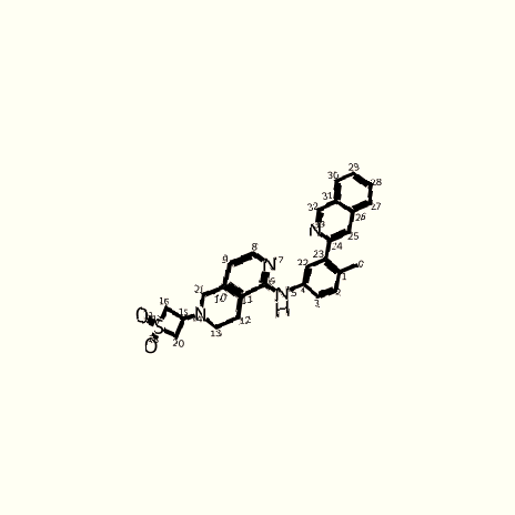 Cc1ccc(Nc2nccc3c2CCN(C2CS(=O)(=O)C2)C3)cc1-c1cc2ccccc2cn1